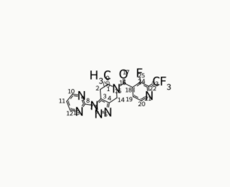 C[C@H]1Cc2c(nnn2-c2ncccn2)CN1C(=O)c1ccnc(C(F)(F)F)c1F